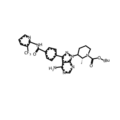 C[C@@H]1C(n2nc(-c3ccc(C(=O)Nc4ncccc4C(F)(F)F)cc3)c3c(N)ncnc32)CCCN1C(=O)OC(C)(C)C